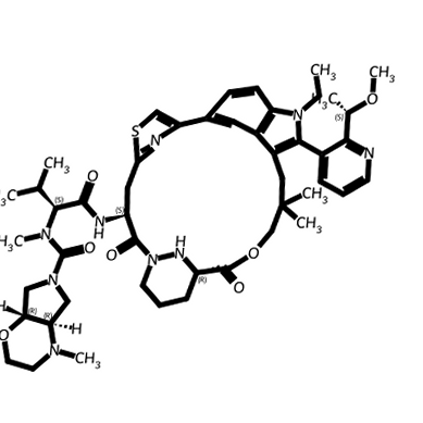 CCn1c(-c2cccnc2[C@H](C)OC)c2c3cc(ccc31)-c1csc(n1)C[C@H](NC(=O)[C@H](C(C)C)N(C)C(=O)N1C[C@@H]3[C@@H](C1)OCCN3C)C(=O)N1CCC[C@](C=O)(COCC(C)(C)C2)N1